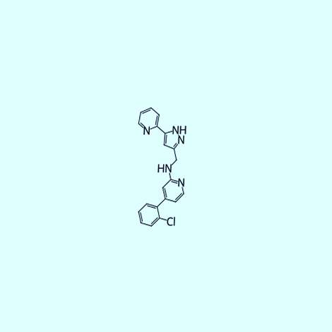 Clc1ccccc1-c1ccnc(NCc2cc(-c3ccccn3)[nH]n2)c1